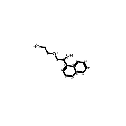 OCCOCC(O)c1cccc2ccccc12